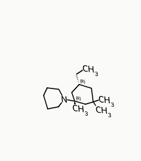 CC[C@@H]1CC(C)(C)C[C@](C)(N2CCCCC2)C1